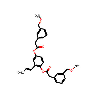 O=CC=Cc1cc(OC(=O)Cc2cccc(CO[N+](=O)[O-])c2)ccc1OC(=O)Cc1cccc(CO[N+](=O)[O-])c1